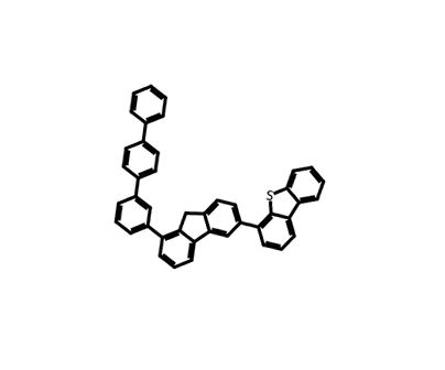 c1ccc(-c2ccc(-c3cccc(-c4cccc5c4Cc4ccc(-c6cccc7c6sc6ccccc67)cc4-5)c3)cc2)cc1